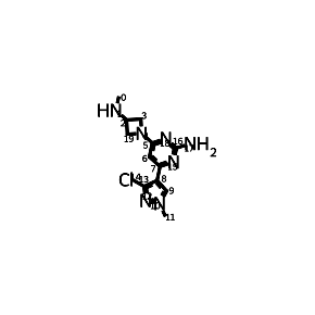 CNC1CN(c2cc(-c3cn(C)nc3Cl)nc(N)n2)C1